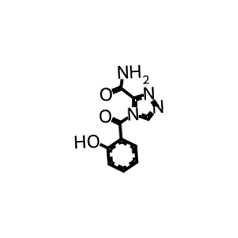 NC(=O)c1nncn1C(=O)c1ccccc1O